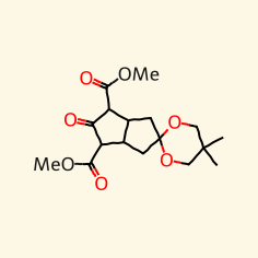 COC(=O)C1C(=O)C(C(=O)OC)C2CC3(CC12)OCC(C)(C)CO3